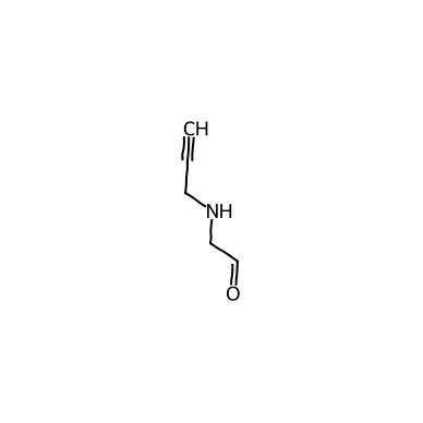 C#CCNCC=O